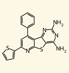 Nc1nc(N)c2sc3nc(-c4cccs4)cc(-c4ccccc4)c3c2n1